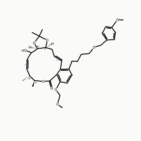 COCOc1ccc(CCCCOCc2ccc(OC)cc2)c2c1C(=O)O[C@@H](C)[C@H](C)/C=C\C(O)[C@H]1OC(C)(C)O[C@H]1C/C=C/2